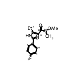 CCc1[nH]c(-c2ccc(F)cc2)nc1C(=O)N(C)OC